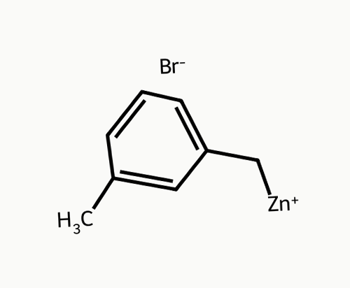 Cc1cccc([CH2][Zn+])c1.[Br-]